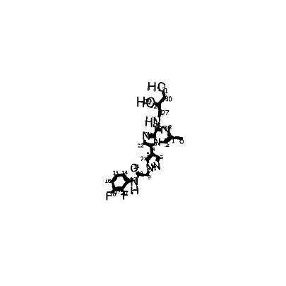 Cc1cn2c(-c3cnn(CC(=O)Nc4cccc(F)c4F)c3)cnc2c(NCC(O)CO)n1